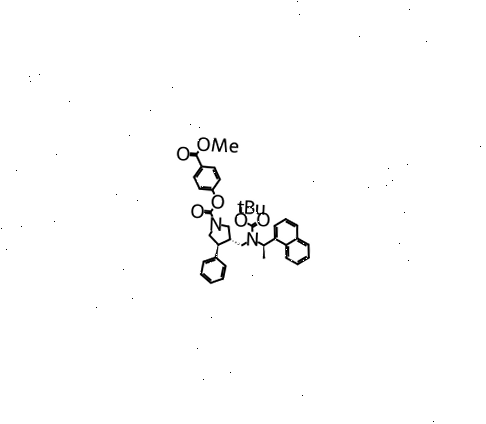 COC(=O)c1ccc(OC(=O)N2C[C@H](CN(C(=O)OC(C)(C)C)[C@H](C)c3cccc4ccccc34)[C@@H](c3ccccc3)C2)cc1